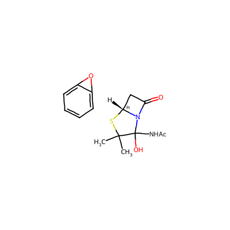 CC(=O)NC1(O)N2C(=O)C[C@H]2SC1(C)C.c1ccc2c(c1)O2